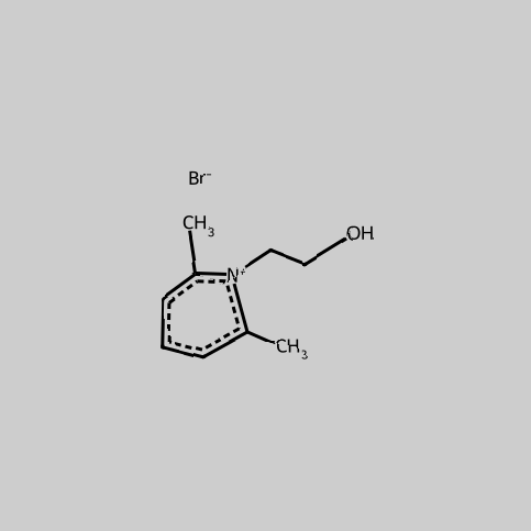 Cc1cccc(C)[n+]1CCO.[Br-]